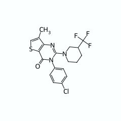 Cc1csc2c(=O)n(-c3ccc(Cl)cc3)c(N3CCCC(C(F)(F)F)C3)nc12